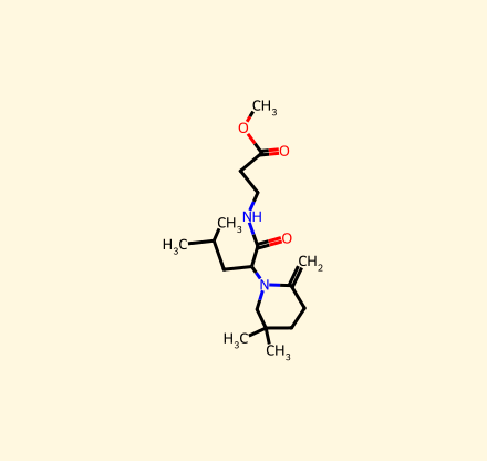 C=C1CCC(C)(C)CN1C(CC(C)C)C(=O)NCCC(=O)OC